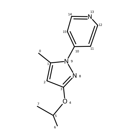 Cc1cc(OC(C)C)nn1-c1ccncc1